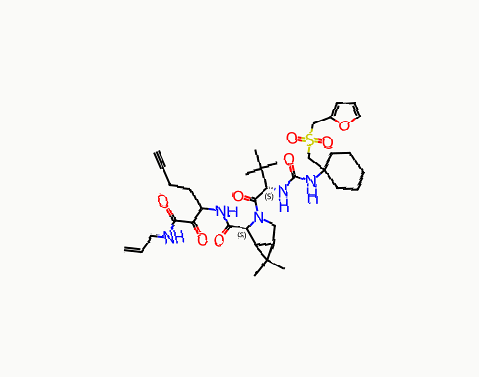 C#CCCC(NC(=O)[C@@H]1C2C(CN1C(=O)[C@@H](NC(=O)NC1(CS(=O)(=O)Cc3ccco3)CCCCC1)C(C)(C)C)C2(C)C)C(=O)C(=O)NCC=C